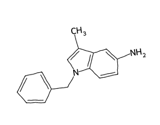 Cc1cn(Cc2ccccc2)c2ccc(N)cc12